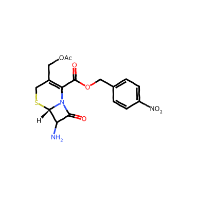 CC(=O)OCC1=C(C(=O)OCc2ccc([N+](=O)[O-])cc2)N2C(=O)C(N)[C@@H]2SC1